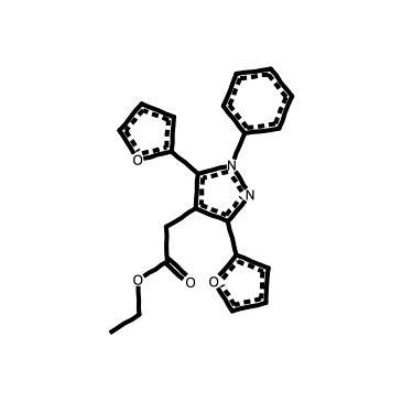 CCOC(=O)Cc1c(-c2ccco2)nn(-c2ccccc2)c1-c1ccco1